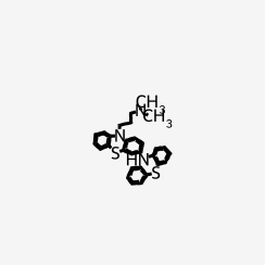 CN(C)CCCN1c2ccccc2Sc2ccccc21.c1ccc2c(c1)Nc1ccccc1S2